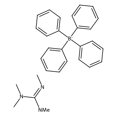 CN=C(NC)N(C)C.c1ccc([B-](c2ccccc2)(c2ccccc2)c2ccccc2)cc1